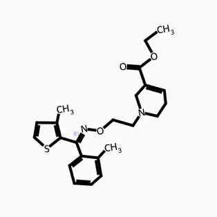 CCOC(=O)C1=CCCN(CCO/N=C(\c2ccccc2C)c2sccc2C)C1